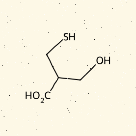 O=C(O)C(CO)CS